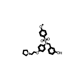 COc1ccc(S(=O)(=O)N(Cc2cccc(O)c2)c2ccc(OCCN3CCCC3)cc2)cc1